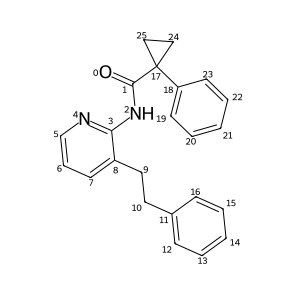 O=C(Nc1ncccc1CCc1ccccc1)C1(c2ccccc2)CC1